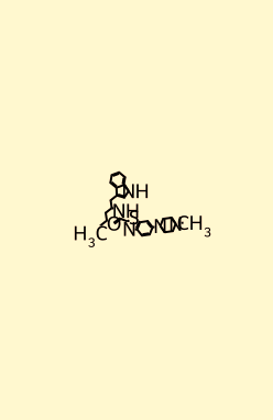 CCCCC(Cc1c[nH]c2ccccc12)NC(=O)c1nc2ccc(N3CCN(C)CC3)cc2s1